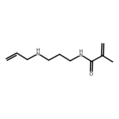 C=CCNCCCNC(=O)C(=C)C